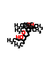 CCCCC(CC)CC(Cc1cc(C(C)(C)C)c(O)c(C(C)(C)C)c1)C(=O)O